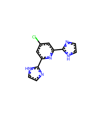 Clc1cc(-c2ncc[nH]2)nc(-c2ncc[nH]2)c1